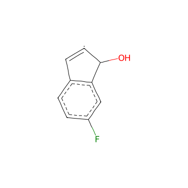 OC1[C]=Cc2ccc(F)cc21